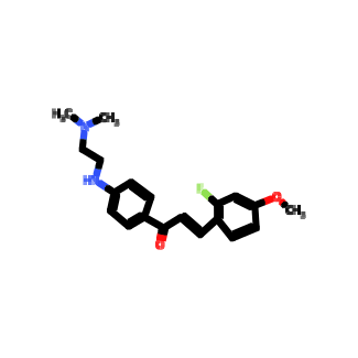 COc1ccc(C=CC(=O)c2ccc(NCCN(C)C)cc2)c(F)c1